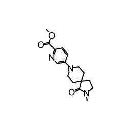 COC(=O)c1ccc(N2CCC3(CCN(C)C3=O)CC2)cn1